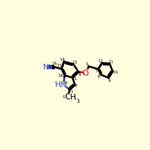 Cc1cc2c(OCc3ccccc3)ccc(C#N)c2[nH]1